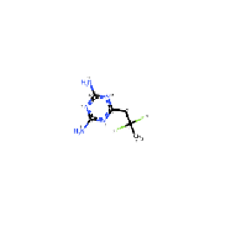 CC(F)(F)Cc1nc(N)nc(N)n1